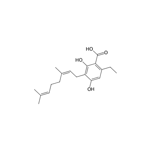 CCc1cc(O)c(C/C=C(/C)CCC=C(C)C)c(O)c1C(=O)O